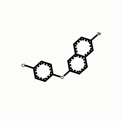 Clc1ccc(Oc2ccc3cc(Br)ccc3c2)cc1